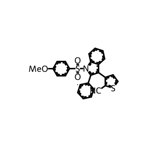 COc1ccc(S(=O)(=O)n2c(-c3[c]cccc3)c(-c3ccsc3C#N)c3ccccc32)cc1